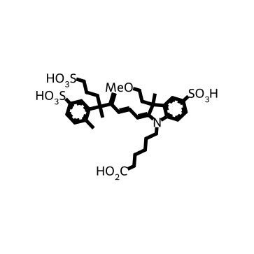 C=C(/C=C/C=C1/N(CCCCCC(=O)O)c2ccc(S(=O)(=O)O)cc2C1(C)CCOC)C(C)(CCCS(=O)(=O)O)c1cc(S(=O)(=O)O)ccc1C